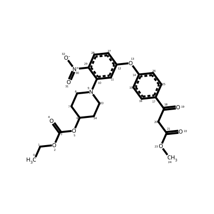 CCOC(=O)OC1CCN(c2cc(Oc3ccc(C(=O)CC(=O)OC)cc3)ccc2[N+](=O)[O-])CC1